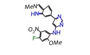 CN/C=C1/C=CC(c2cc(Nc3cc([N+](=O)[O-])c(F)cc3OC)ncn2)=CC1=N